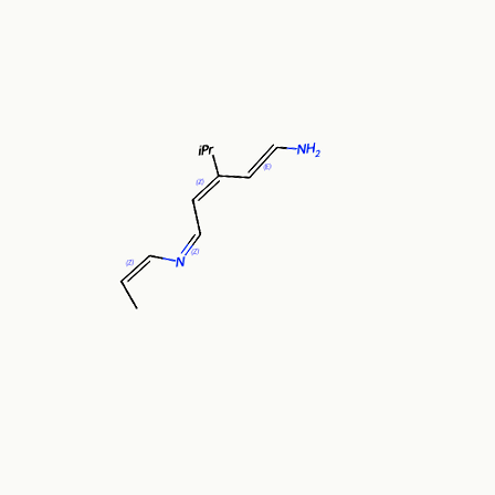 C\C=C/N=C\C=C(/C=C/N)C(C)C